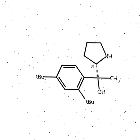 CC(C)(C)c1ccc(C(C)(O)[C@@H]2CCCN2)c(C(C)(C)C)c1